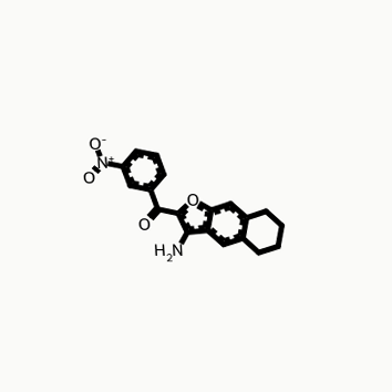 Nc1c(C(=O)c2cccc([N+](=O)[O-])c2)oc2cc3c(cc12)CCCC3